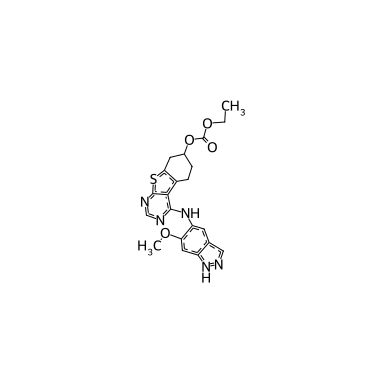 CCOC(=O)OC1CCc2c(sc3ncnc(Nc4cc5cn[nH]c5cc4OC)c23)C1